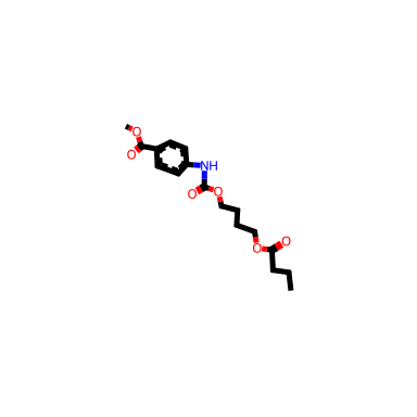 CCCC(=O)OCCCCOC(=O)Nc1ccc(C(=O)OC)cc1